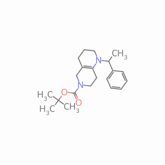 CC(c1ccccc1)N1CCCC2=C1CCN(C(=O)OC(C)(C)C)C2